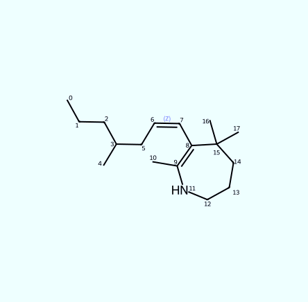 CCCC(C)C/C=C\C1=C(C)NCCCC1(C)C